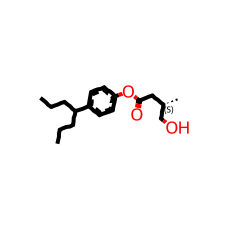 CCCC(CCC)c1ccc(OC(=O)C[C@H](C)CO)cc1